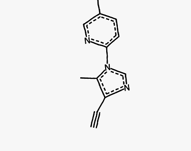 C#Cc1ncn(-c2ccc(C)cn2)c1C